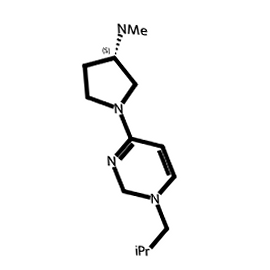 CN[C@H]1CCN(C2=NCN(CC(C)C)C=C2)C1